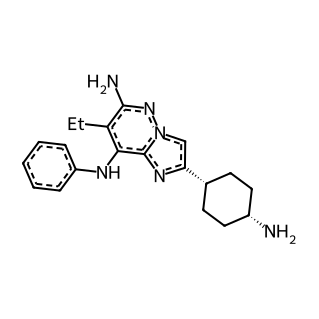 CCc1c(N)nn2cc([C@H]3CC[C@@H](N)CC3)nc2c1Nc1ccccc1